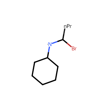 CCCC(Br)[N]C1CCCCC1